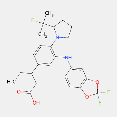 CCC(CC(=O)O)c1ccc(N2CCCC2C(C)(C)F)c(Nc2ccc3c(c2)OC(F)(F)O3)c1